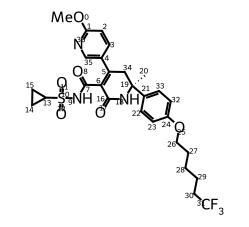 COc1ccc(C2=C(C(=O)NS(=O)(=O)C3CC3)C(=O)N[C@](C)(c3ccc(OCCCCCC(F)(F)F)cc3)C2)cn1